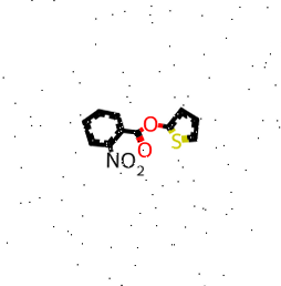 O=C(Oc1cccs1)c1ccccc1[N+](=O)[O-]